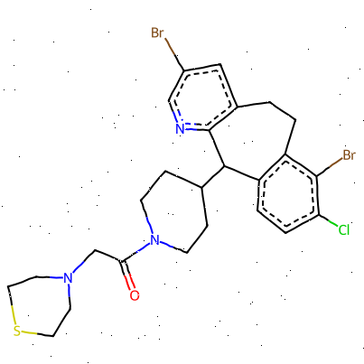 O=C(CN1CCSCC1)N1CCC(C2c3ccc(Cl)c(Br)c3CCc3cc(Br)cnc32)CC1